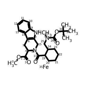 COC(=O)C1Cc2c([nH]c3ccccc23)CN1C(=O)C1CCCCC1CN(C)C(=O)OC(C)(C)C.[Fe]